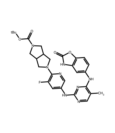 Cc1cnc(Nc2cnc(N3CC4CN(C(=O)OC(C)(C)C)CC4C3)c(F)c2)nc1Nc1ccc2oc(=O)[nH]c2c1